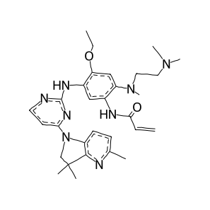 C=CC(=O)Nc1cc(Nc2nccc(N3CC(C)(C)c4nc(C)ccc43)n2)c(OCC)cc1N(C)CCN(C)C